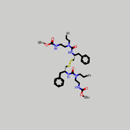 CC(C)CCN(CCNC(=O)OC(C)(C)C)C(=O)N[C@@H](CSSC[C@@H](Cc1ccccc1)NC(=O)N(CCNC(=O)OC(C)(C)C)CCC(C)C)Cc1ccccc1